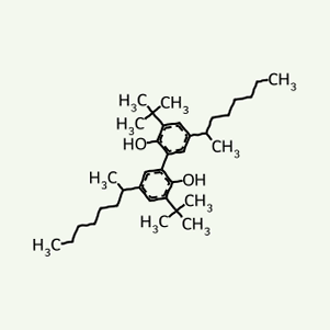 CCCCCCC(C)c1cc(-c2cc(C(C)CCCCCC)cc(C(C)(C)C)c2O)c(O)c(C(C)(C)C)c1